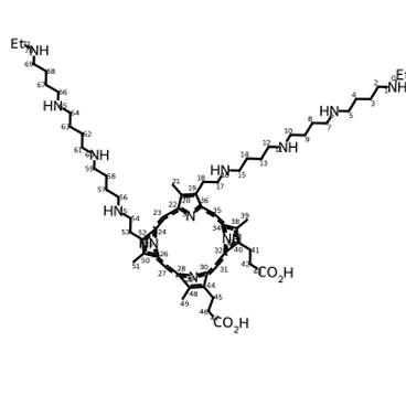 CCNCCCCNCCCCNCCCCNCCC1=C(C)c2cc3[nH]c(cc4nc(cc5[nH]c(cc1n2)c(C)c5CCC(=O)O)C(CCC(=O)O)=C4C)c(C)c3CCNCCCCNCCCCNCCCCNCC